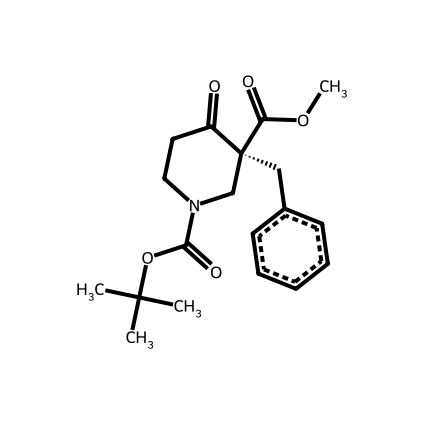 COC(=O)[C@@]1(Cc2ccccc2)CN(C(=O)OC(C)(C)C)CCC1=O